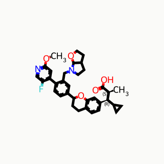 COc1cc(-c2ccc(C3CCc4ccc([C@H](C5CC5)[C@H](C)C(=O)O)cc4O3)cc2CN2CCC3CCOC32)c(F)cn1